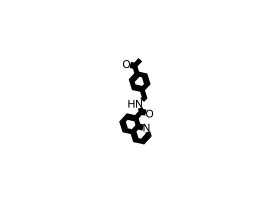 CC(=O)c1ccc(CNC(=O)c2cccc3cccnc23)cc1